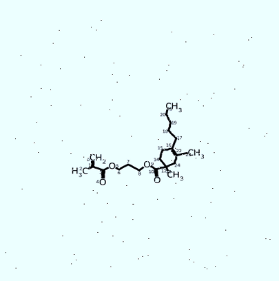 C=C(C)C(=O)OCCCOC(=O)C1(C)CCC(CCCCC)=C(C)C1